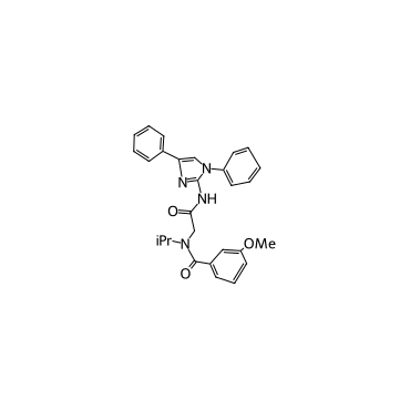 COc1cccc(C(=O)N(CC(=O)Nc2nc(-c3ccccc3)cn2-c2ccccc2)C(C)C)c1